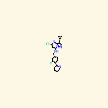 Fc1cc(CNc2cc(Cl)nc3c(C4CC4)cnn23)ccc1-c1ccccn1